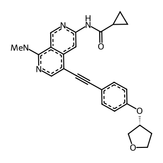 CNc1ncc(C#Cc2ccc(O[C@@H]3CCOC3)cc2)c2cc(NC(=O)C3CC3)ncc12